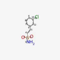 NS(=O)(=O)C=Cc1cccc(Cl)c1